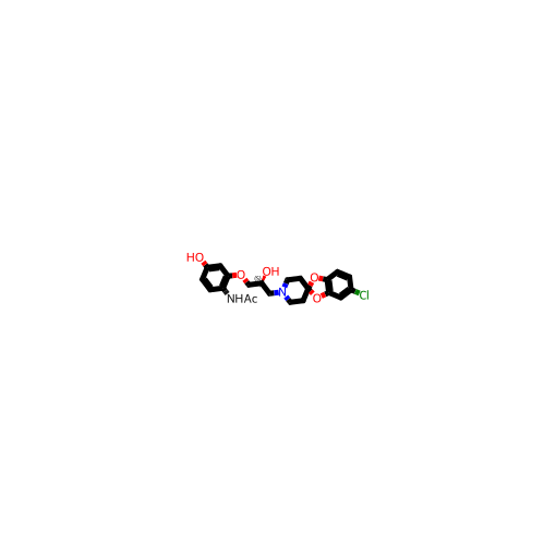 CC(=O)Nc1ccc(O)cc1OC[C@@H](O)CN1CCC2(CC1)Oc1ccc(Cl)cc1O2